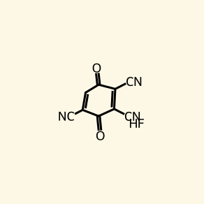 F.N#CC1=CC(=O)C(C#N)=C(C#N)C1=O